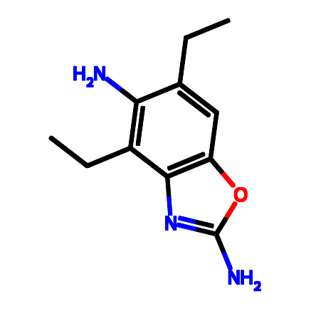 CCc1cc2oc(N)nc2c(CC)c1N